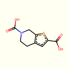 O=C(O)c1cc2c(s1)CN(C(=O)O)CC2